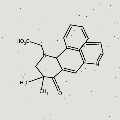 CC1(C)CN(CC(=O)O)C(c2ccccc2)/C(=C\c2ccccn2)C1=O